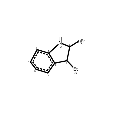 CCCC1Nc2ccccc2C1CC